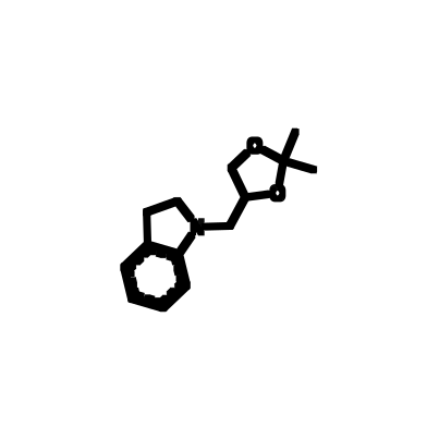 CC1(C)OCC(CN2CCc3ccccc32)O1